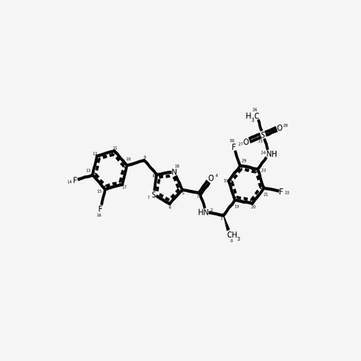 C[C@@H](NC(=O)c1csc(Cc2ccc(F)c(F)c2)n1)c1cc(F)c(NS(C)(=O)=O)c(F)c1